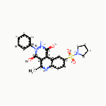 Cc1nc2ccc(S(=O)(=O)N3CCCC3)cc2c2c(=O)[nH]n(-c3ccccc3)c(=O)c12